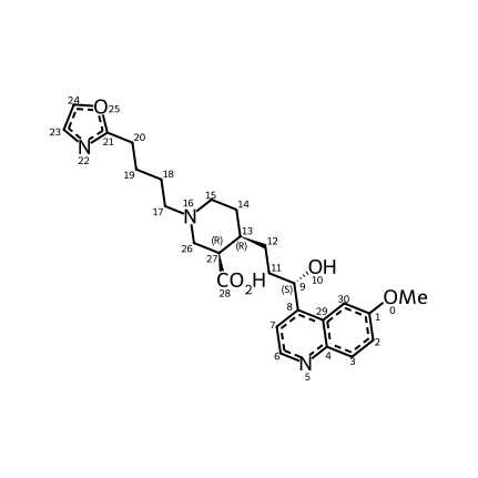 COc1ccc2nccc([C@@H](O)CC[C@@H]3CCN(CCCCc4ncco4)C[C@@H]3C(=O)O)c2c1